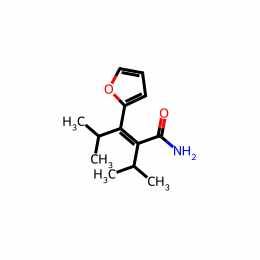 CC(C)C(C(N)=O)=C(c1ccco1)C(C)C